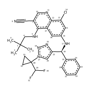 CC(C)(C)CNc1c(C#N)cnc2c(Cl)cc(N[C@@H](c3ccccc3)c3cn(C4(C(F)F)CC4)nn3)cc12